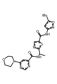 CC(NC(=O)c1cc(N2CCOCC2)ncn1)c1ncc(C(=O)Nc2cc(C(C)(C)C)on2)s1